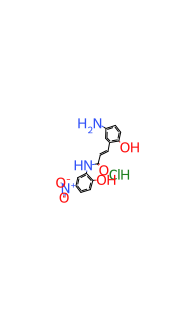 Cl.Nc1ccc(O)c(/C=C/C(=O)Nc2cc([N+](=O)[O-])ccc2O)c1